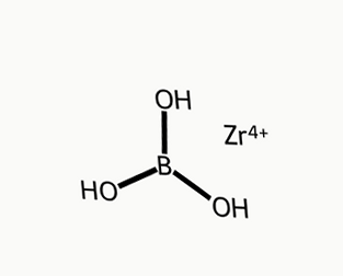 OB(O)O.[Zr+4]